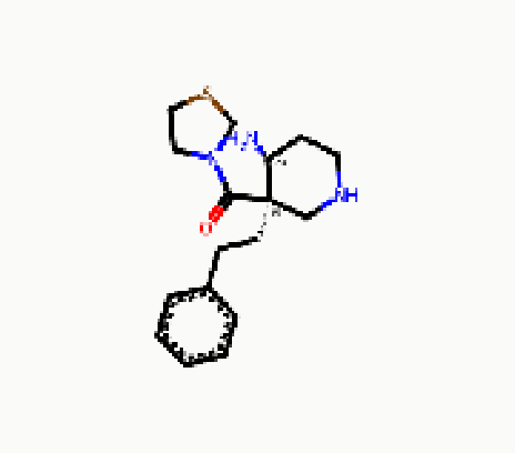 N[C@H]1CCNC[C@@]1(CCc1ccccc1)C(=O)N1CCSC1